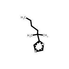 CCCCC(C)(C)c1cn[c]s1